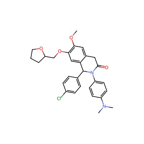 COc1cc2c(cc1OCC1CCCO1)C(c1ccc(Cl)cc1)N(c1ccc(N(C)C)cc1)C(=O)C2